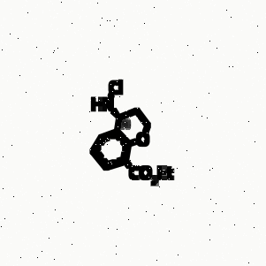 CCOC(=O)c1cccc2c1OCC[C@@H]2NCl